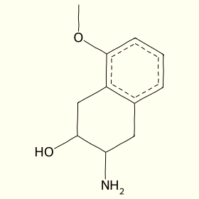 COc1cccc2c1CC(O)C(N)C2